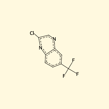 FC(F)(F)c1ccc2nc(Cl)cnc2c1